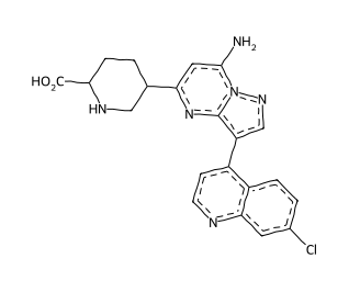 Nc1cc(C2CCC(C(=O)O)NC2)nc2c(-c3ccnc4cc(Cl)ccc34)cnn12